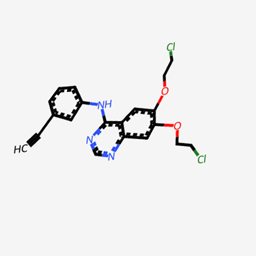 C#Cc1cccc(Nc2ncnc3cc(OCCCl)c(OCCCl)cc23)c1